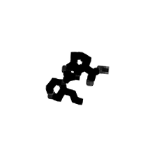 CCCC1COCCN1c1nc2c(C(=O)O)cccc2o1